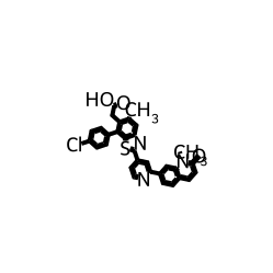 Cc1cc2nc(-c3ccnc(-c4ccc5ccc(=O)n(C)c5c4)c3)sc2c(-c2ccc(Cl)cc2)c1CC(=O)O